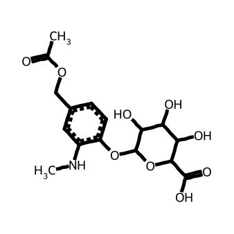 CNc1cc(COC(C)=O)ccc1OC1OC(C(=O)O)C(O)C(O)C1O